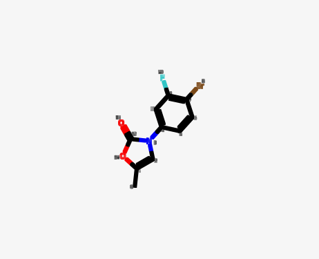 Cc1cn(-c2ccc(Br)c(F)c2)c(=O)o1